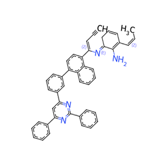 C#C/C=C(\N=C1/CC=CC(/C=C\C)=C1N)c1ccc(-c2cccc(-c3cc(-c4ccccc4)nc(-c4ccccc4)n3)c2)c2ccccc12